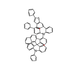 c1ccc(-c2ccc(N(c3ccccc3-c3ccc4cc(-c5ccccc5)sc4c3)c3cccc4c3-c3ccc5ccccc5c3C43c4ccccc4N(c4ccccc4)c4ccccc43)cc2)cc1